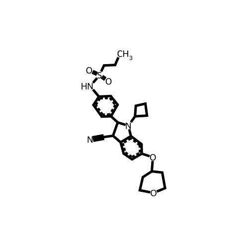 CCCS(=O)(=O)Nc1ccc(C2C(C#N)c3ccc(OC4CCOCC4)cc3N2C2CCC2)cc1